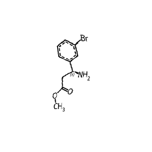 COC(=O)C[C@H](N)c1cccc(Br)c1